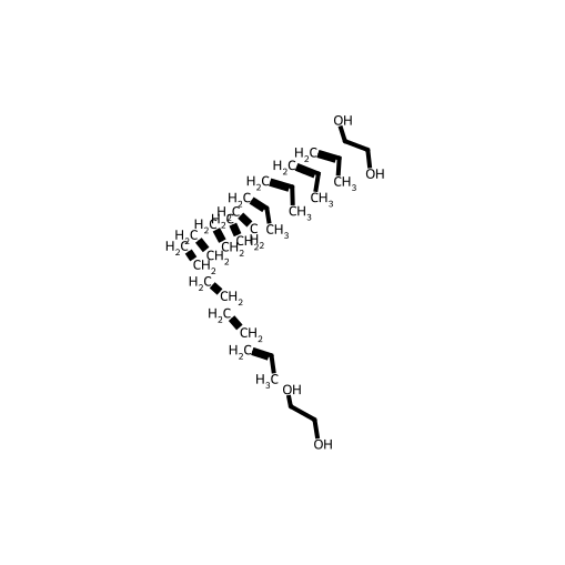 C=C.C=C.C=C.C=C.C=C.C=C.C=C.C=CC.C=CC.C=CC.C=CC.C=CC.OCCO.OCCO